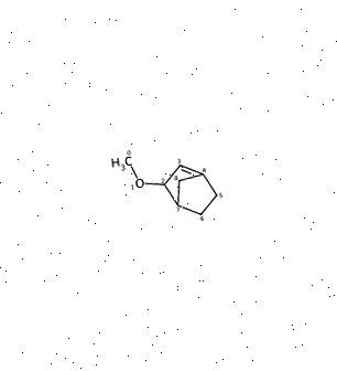 COC1C=C2CCC1C2